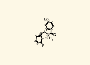 Cn1c(=O)c2ccc(Br)cc2n1Cc1cccc(F)c1